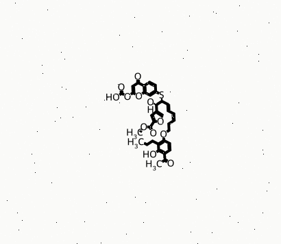 CCCc1c(OCC/C=C\C=C\[C@H](Sc2ccc3c(=O)cc(OC(=O)O)oc3c2)[C@H](O)c2coc(C(=O)OC)c2)ccc(C(C)=O)c1O